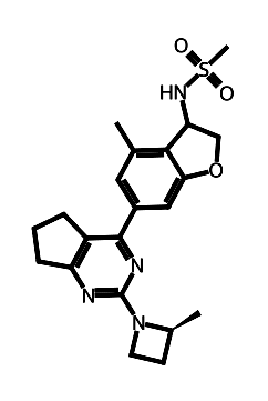 Cc1cc(-c2nc(N3CC[C@@H]3C)nc3c2CCC3)cc2c1C(NS(C)(=O)=O)CO2